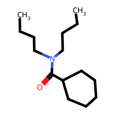 CCCCN(CCCC)C(=O)C1CCCCC1